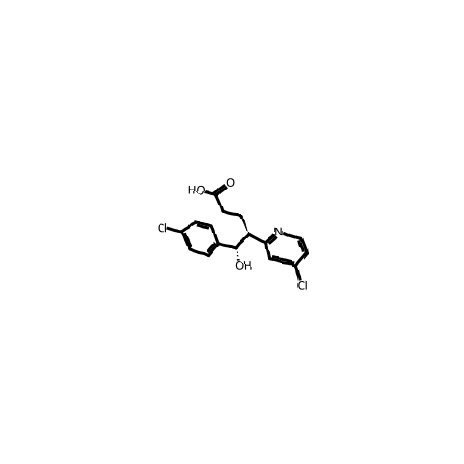 O=C(O)CC[C@@H](c1cc(Cl)ccn1)[C@H](O)c1ccc(Cl)cc1